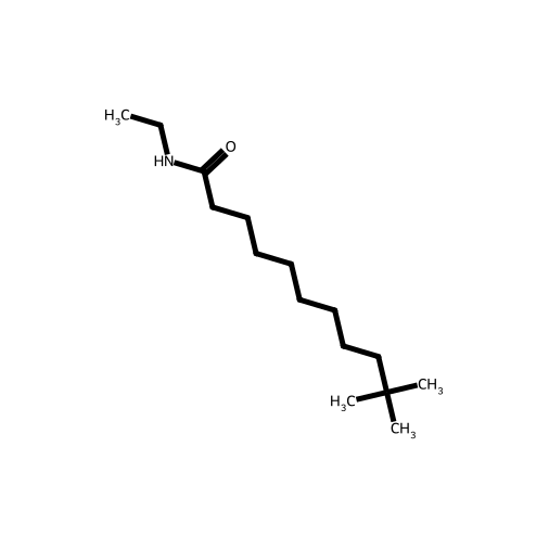 CCNC(=O)CCCCCCCCC(C)(C)C